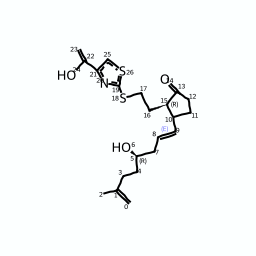 C=C(C)CC[C@@H](O)C/C=C/C1CCC(=O)[C@@H]1CCSc1nc(C(=C)O)cs1